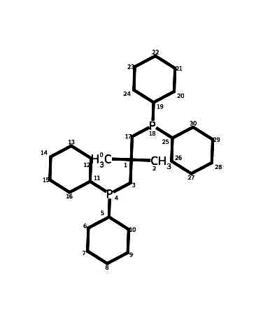 CC(C)(CP(C1CCCCC1)C1CCCCC1)CP(C1CCCCC1)C1CCCCC1